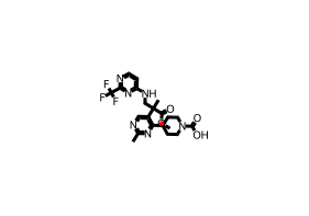 COC(=O)C(C)(CNc1ccnc(C(F)(F)F)n1)c1cnc(C)nc1C1CCN(C(=O)O)CC1